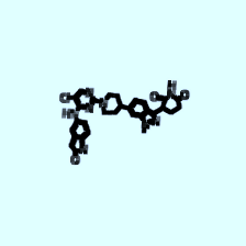 Cn1nc(C2CCC(=O)NC2=O)c2ccc(C3CCN(c4ncc(Cl)c(Nc5ccc6c(c5)=CC(=O)N=6)n4)CC3)cc21